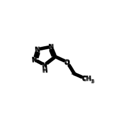 C[CH]Oc1nnn[nH]1